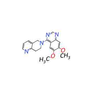 COc1cc2ncnc(N3CCc4ncccc4C3)c2cc1OC